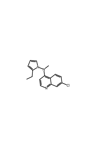 CCc1cccn1N(C)c1ccnc2cc(Cl)ccc12